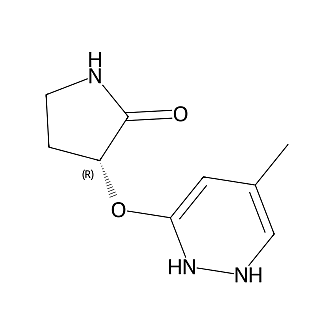 CC1=CNNC(O[C@@H]2CCNC2=O)=C1